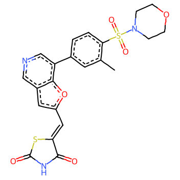 Cc1cc(-c2cncc3cc(/C=C4\SC(=O)NC4=O)oc23)ccc1S(=O)(=O)N1CCOCC1